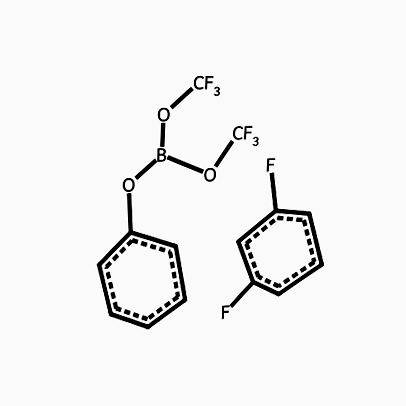 FC(F)(F)OB(Oc1ccccc1)OC(F)(F)F.Fc1cccc(F)c1